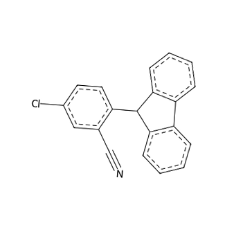 N#Cc1cc(Cl)ccc1C1c2ccccc2-c2ccccc21